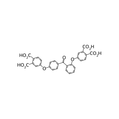 O=C(c1ccc(Oc2ccc(C(=O)O)c(C(=O)O)c2)cc1)c1ccccc1Oc1ccc(C(=O)O)c(C(=O)O)c1